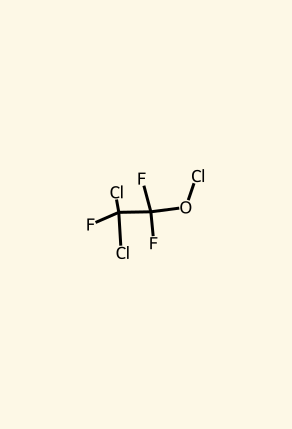 FC(Cl)(Cl)C(F)(F)OCl